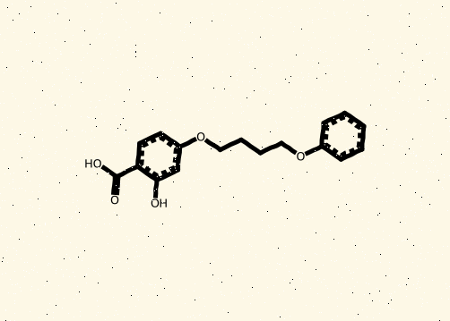 O=C(O)c1ccc(OCCCCOc2ccccc2)cc1O